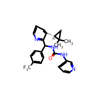 CC1(C)C[C@H]1c1cccnc1C(NC(=O)Nc1cccnc1)c1ccc(C(F)(F)F)cc1